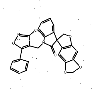 Cc1noc(-c2ccccc2)c1CN1C(=O)C2(COc3cc4c(cc32)OCO4)c2ccccc21